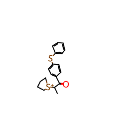 CC(C(=O)c1ccc(Sc2ccccc2)cc1)[S+]1CCCC1